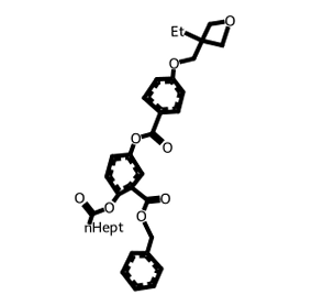 CCCCCCCC(=O)Oc1ccc(OC(=O)c2ccc(OCC3(CC)COC3)cc2)cc1C(=O)OCc1ccccc1